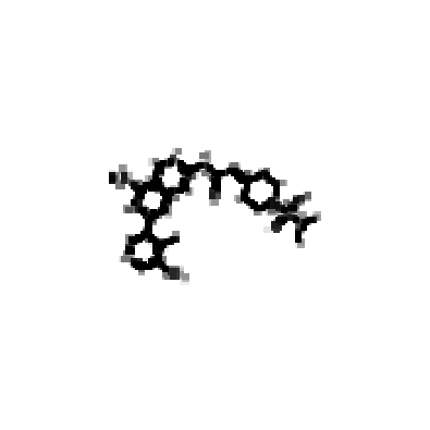 Cc1c(N)cncc1-c1cc2cc(NC(=O)C=C3CCN(S(=O)(=O)N(C)C)CC3)ncc2c(N)n1